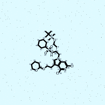 CC(C)(C)[Si](C)(C)OCC[C@H](Cn1cc(CCOC2CCCCO2)c2c(Cl)nc(Cl)cc21)NS(=O)(=O)C1CCCCC1